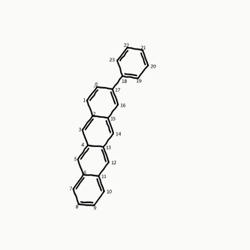 [c]1cc2cc3cc4ccccc4cc3cc2cc1-c1ccccc1